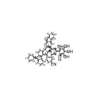 N#Cc1ccc(-n2c3ccccc3c3ccc4c(c5ccccc5n4-c4ccccc4)c32)c(-c2nc(-c3ccc4oc5ccccc5c4c3)nc(-c3c(O)c(O)c(O)c(O)c3O)n2)c1